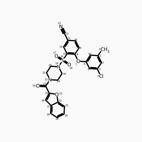 Cc1cc(Cl)cc(Oc2ccc(C#N)cc2S(=O)(=O)N2CCN(C(=O)c3cc4ccccc4o3)CC2)c1